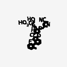 Cc1cccc(F)c1-c1cccc2c1CC[C@@H]2Oc1cc(OCc2cncc(C#N)c2)c(CN[C@@H](CO)C(=O)O)cc1Cl